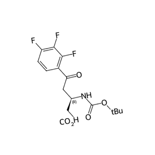 CC(C)(C)OC(=O)N[C@@H](CC(=O)O)CC(=O)c1ccc(F)c(F)c1F